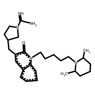 CC1CCCC(C)N1CCCCCn1c(=O)c(CC2CCN(C(=N)N)C2)cc2ccccc21